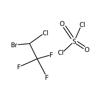 FC(F)(F)C(Cl)Br.O=S(=O)(Cl)Cl